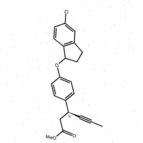 CC#C[C@@H](CC(=O)OC)c1ccc(OC2CCc3cc(Cl)ccc32)cc1